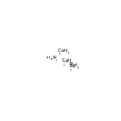 [BaH2].[CaH2].[CaH2].[SiH4]